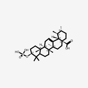 C[C@H]1[C@H](C)CC[C@]2(C(=O)O)CC[C@]3(C)C(=CC[C@@H]4[C@@]5(C)CC[C@H](OP(=O)(O)O)C(C)(C)C5CC[C@]43C)[C@H]12